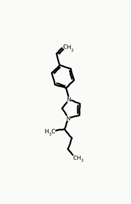 C=Cc1ccc(N2C=CN(C(C)CCC)C2)cc1